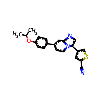 CC(C)Oc1ccc(-c2ccn3c(-c4csc(C#N)c4)cnc3c2)cc1